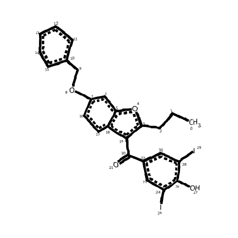 CCCc1oc2cc(OCc3ccccc3)ccc2c1C(=O)c1cc(I)c(O)c(I)c1